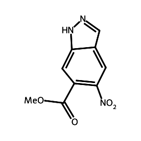 COC(=O)c1cc2[nH]ncc2cc1[N+](=O)[O-]